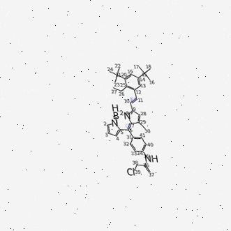 Bn1cccc1/C(=C1N=C(/C=C/c2cc(C(C)(C)C)cc(C(C)(C)C)c2CC)C=C\1C)c1ccc(NC(=C)CCl)cc1